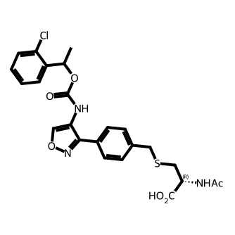 CC(=O)N[C@@H](CSCc1ccc(-c2nocc2NC(=O)OC(C)c2ccccc2Cl)cc1)C(=O)O